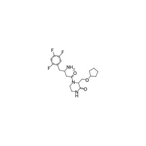 NC(CC(=O)N1CCNC(=O)C1COC1CCCC1)Cc1cc(F)c(F)cc1F